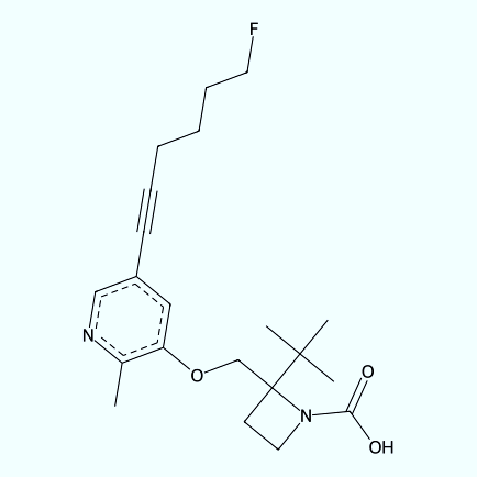 Cc1ncc(C#CCCCCF)cc1OCC1(C(C)(C)C)CCN1C(=O)O